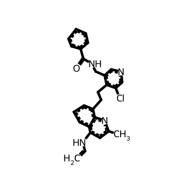 C=CNc1cc(C)nc2c(CCc3c(Cl)cncc3CNC(=O)c3ccccc3)cccc12